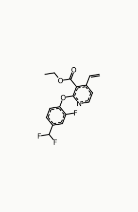 C=Cc1ccnc(Oc2ccc(C(F)F)cc2F)c1C(=O)OCC